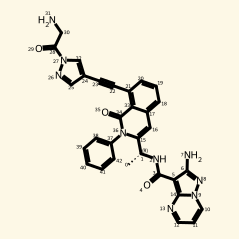 C[C@@H](NC(=O)c1c(N)nn2cccnc12)c1cc2cccc(C#Cc3cnn(C(=O)CN)c3)c2c(=O)n1-c1ccccc1